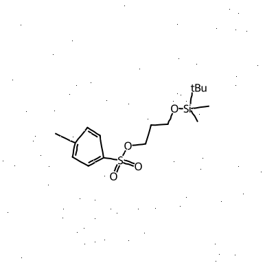 Cc1ccc(S(=O)(=O)OCCCO[Si](C)(C)C(C)(C)C)cc1